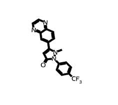 Cn1c(-c2ccc3nccnc3c2)cc(=O)n1-c1ccc(C(F)(F)F)cc1